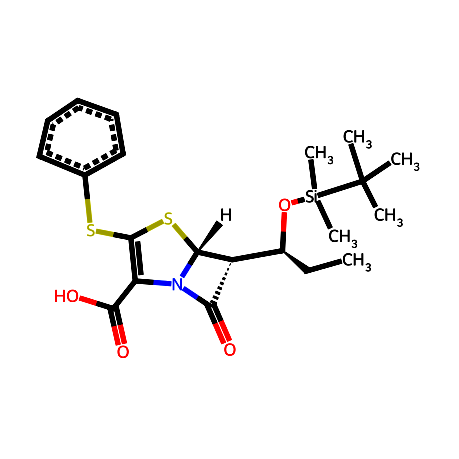 CC[C@H](O[Si](C)(C)C(C)(C)C)[C@@H]1C(=O)N2C(C(=O)O)=C(Sc3ccccc3)S[C@H]12